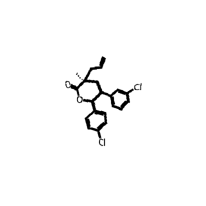 C=CC[C@@]1(C)CC(c2cccc(Cl)c2)C(c2ccc(Cl)cc2)OC1=O